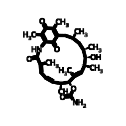 CC1=C2C[C@@H](C)C[C@H](C)[C@H](O)[C@@H](C)/C=C(\C)[C@H](OC(N)=O)[C@@H](C)/C=C\C=C(/C)C(=O)NC(=C(C)C1=O)C2=O